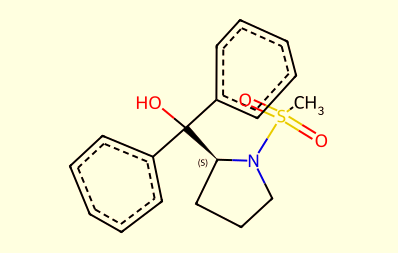 CS(=O)(=O)N1CCC[C@H]1C(O)(c1ccccc1)c1ccccc1